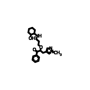 Cn1cc(CC(OCCCNC2CCCCC2O)C(=O)c2ccccc2)cn1